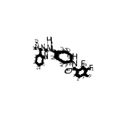 Cc1ccc(C(=O)NC2CCC(Nc3nc4c(c(N(C)C)n3)CCCC4)CC2)c(F)c1F